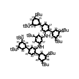 CC(C)(C)c1cc(Nc2cc(-c3cc(C(C)(C)C)cc(C(C)(C)C)c3)ccc2-c2cc(C(C)(C)C)cc(C(C)(C)C)c2)cc(Nc2cc(-c3cc(C(C)(C)C)cc(C(C)(C)C)c3)ccc2-c2cc(C(C)(C)C)cc(C(C)(C)C)c2)c1